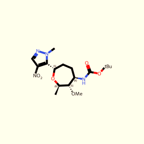 CO[C@H]1[C@H](NC(=O)OC(C)(C)C)CC[C@@H](c2c([N+](=O)[O-])cnn2C)O[C@@H]1C